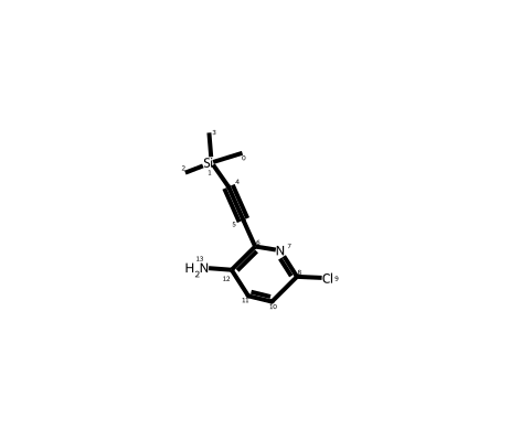 C[Si](C)(C)C#Cc1nc(Cl)ccc1N